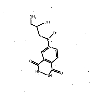 CCN(CC(O)CN)c1ccc2c(=O)[nH][nH]c(=O)c2c1